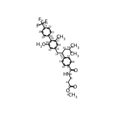 COC(=O)CCNC(=O)c1ccc(C(Cc2cc(C)c(-c3ccc(C(F)(F)F)cc3)c(C)c2)CC(C)C)cc1